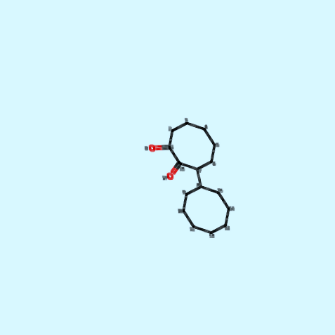 O=C1CCCCCC(C2CCCCCCC2)C1=O